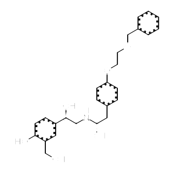 C[C@@H](Cc1ccc(OCCOCc2ccccc2)cc1)NC[C@H](O)c1ccc(O)c(CO)c1